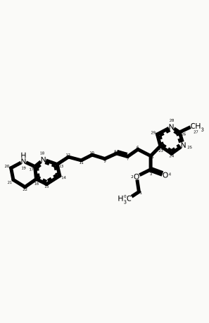 CCOC(=O)C(CC=CCCCCc1ccc2c(n1)NCCC2)c1cnc(C)nc1